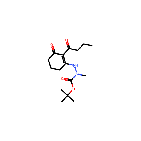 CCCC(=O)C1=C(NN(C)C(=O)OC(C)(C)C)CCCC1=O